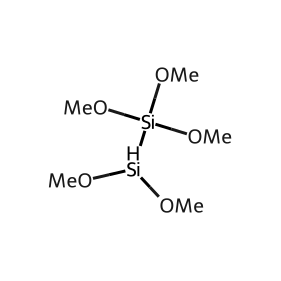 CO[SiH](OC)[Si](OC)(OC)OC